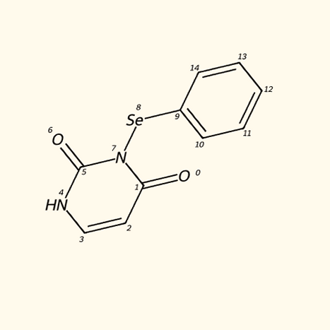 O=c1cc[nH]c(=O)n1[Se]c1ccccc1